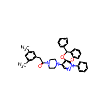 Cc1cc(C)cc(CC(=O)N2CCN(c3cnn(-c4ccccc4)c(=O)c3OC(c3ccccc3)c3ccccc3)CC2)c1